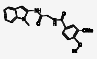 CCOc1ccc(C(=O)NCC(=O)Nc2cc3ccccc3n2C)cc1OC